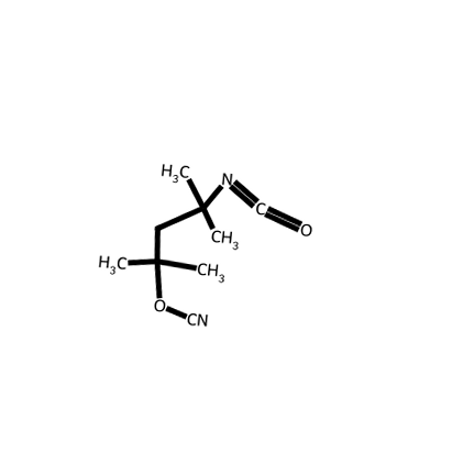 CC(C)(CC(C)(C)OC#N)N=C=O